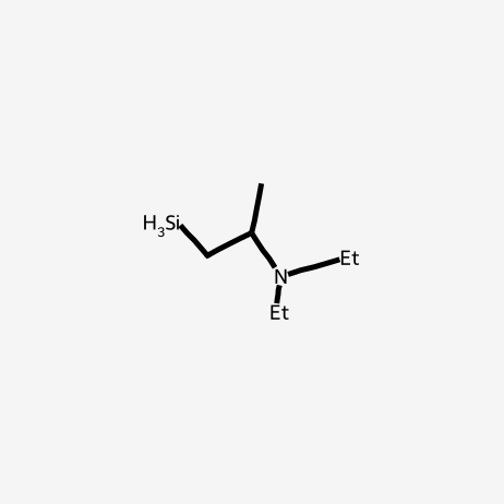 CCN(CC)C(C)C[SiH3]